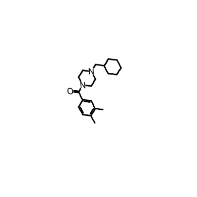 Cc1ccc(C(=O)N2CCN(CC3CCCCC3)CC2)cc1C